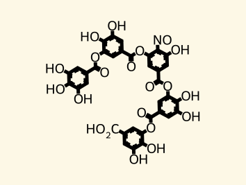 O=Nc1c(O)cc(C(=O)Oc2cc(C(=O)Oc3cc(C(=O)O)cc(O)c3O)cc(O)c2O)cc1OC(=O)c1cc(O)c(O)c(OC(=O)c2cc(O)c(O)c(O)c2)c1